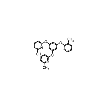 Cc1cccc(Oc2cc(Oc3cccc(C)n3)cc(Oc3ccccc3C)c2)n1